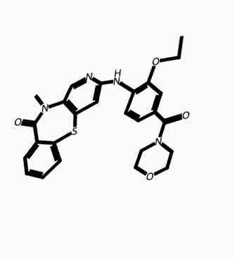 CCOc1cc(C(=O)N2CCOCC2)ccc1Nc1cc2c(cn1)N(C)C(=O)c1ccccc1S2